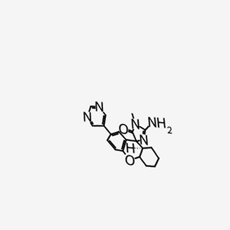 CN1C(=O)C2(N=C1N)c1cc(-c3cncnc3)ccc1OC1CCCC[C@@H]12